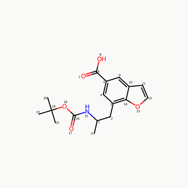 CC(Cc1cc(C(=O)O)cc2ccoc12)NC(=O)OC(C)(C)C